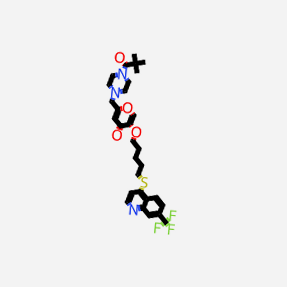 CC(C)(C)C(=O)N1CCN(Cc2cc(=O)c(OCCCCCSc3ccnc4cc(C(F)(F)F)ccc34)co2)CC1